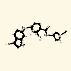 Cn1cc(NC(=O)c2ccc(Nc3ccc4c(F)c[nH]c4c3)nc2C(F)(F)F)cn1